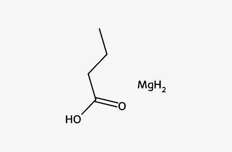 CCCC(=O)O.[MgH2]